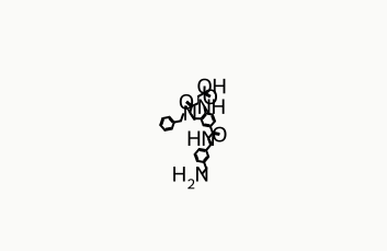 NCc1cccc(CNC(=O)c2ccc3c(c2)CN(CCc2ccccc2)C(=O)[C@@H](CC(=O)O)N3)c1